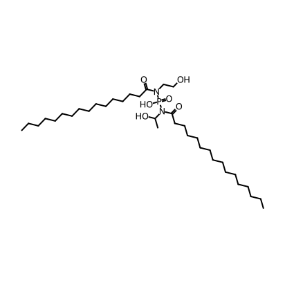 CCCCCCCCCCCCCCCC(=O)N(CCO)P(=O)(O)N(C(=O)CCCCCCCCCCCCCCC)C(C)O